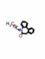 COCCN1C(=O)Cc2ccccc2-c2ccccc21